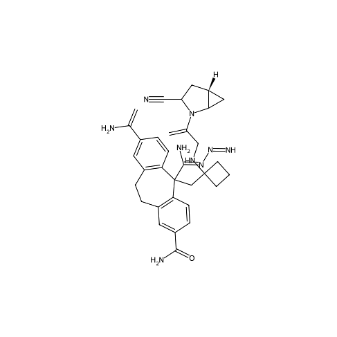 C=C(N)c1ccc2c(c1)CCc1cc(C(N)=O)ccc1C2(CC1(NCC(=C)N2C(C#N)C[C@@H]3CC32)CCC1)/C(N)=N/N=N